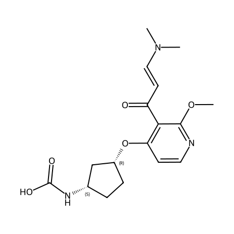 COc1nccc(O[C@@H]2CC[C@H](NC(=O)O)C2)c1C(=O)C=CN(C)C